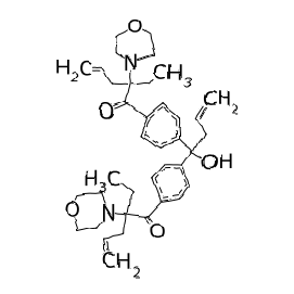 C=CCC(O)(c1ccc(C(=O)C(CC)(CC=C)N2CCOCC2)cc1)c1ccc(C(=O)C(CC)(CC=C)N2CCOCC2)cc1